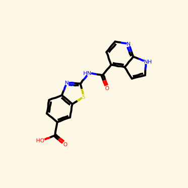 O=C(O)c1ccc2nc(NC(=O)c3ccnc4[nH]ccc34)sc2c1